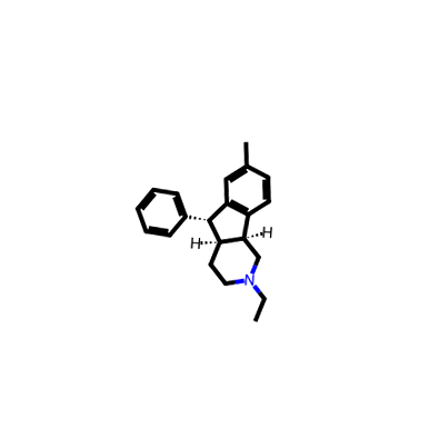 CCN1CC[C@H]2[C@H](c3ccccc3)c3cc(C)ccc3[C@H]2C1